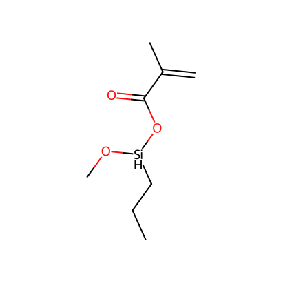 C=C(C)C(=O)O[SiH](CCC)OC